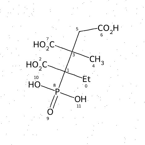 CCC(C(=O)O)(C(C)(CC(=O)O)C(=O)O)P(=O)(O)O